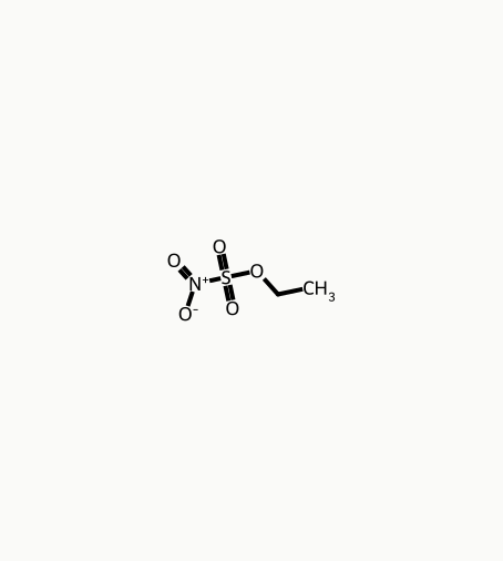 CCOS(=O)(=O)[N+](=O)[O-]